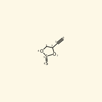 C#CC1COS(=S)O1